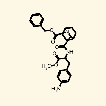 COC(=O)C(Cc1ccc(N)cc1)NC(=O)C1C2CCC(CC2)N1C(=O)OCc1ccccc1